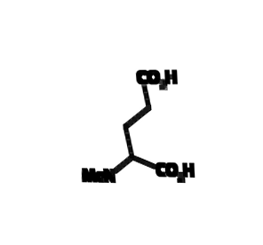 CNC(CCC(=O)O)C(=O)O